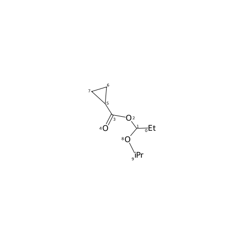 CCC(OC(=O)C1CC1)OC(C)C